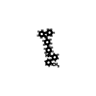 Cc1ccccc1-c1ccccc1Nc1ccc(-c2ccc(-n3c4ccccc4c4ccccc43)cc2)cc1